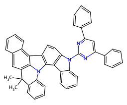 CC1(C)c2ccccc2-n2c3c1cc1ccccc1c3c1ccc3c(c4ccccc4n3-c3nc(-c4ccccc4)cc(-c4ccccc4)n3)c12